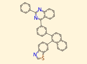 c1ccc(-c2nc(-c3cccc(-c4ccc5ccccc5c4-c4ccc5ncsc5c4)c3)c3ccccc3n2)cc1